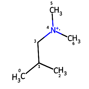 CC(C)C[N+](C)C